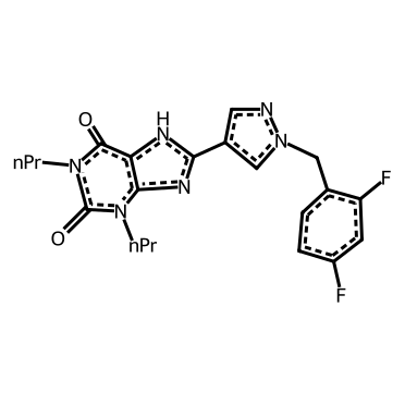 CCCn1c(=O)c2[nH]c(-c3cnn(Cc4ccc(F)cc4F)c3)nc2n(CCC)c1=O